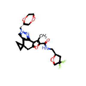 Cc1c(C(=O)NCC2CC(F)(F)CO2)oc2c1-c1nn(C[C@H]3COCCO3)cc1C1(CC1)C2